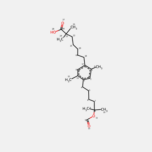 Cc1cc(CCCCC(C)(C)OC=O)c(C)cc1CCCCCC(C)(C)C(=O)O